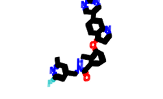 Cc1cc(CNC(=O)c2cccc(Oc3ccnc4cc(-c5cncnc5)ccc34)c2C)cc(F)n1